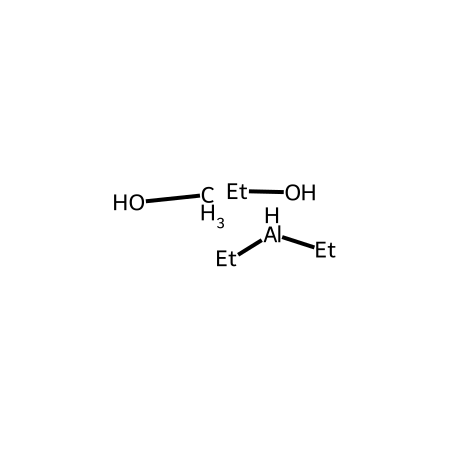 CCO.CO.C[CH2][AlH][CH2]C